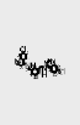 Clc1ccc2c(NCc3cccc(CNc4ccnc5cc(Cl)ccc45)c3)ccnc2c1